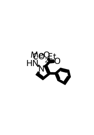 CCOC(=O)Nn1ccc(-c2ccccc2)c1C(=O)OC